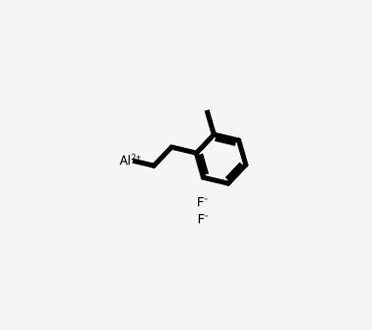 Cc1ccccc1C[CH2][Al+2].[F-].[F-]